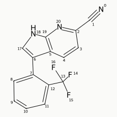 N#Cc1ccc2c(-c3ccccc3C(F)(F)F)c[nH]c2n1